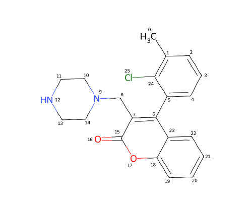 Cc1cccc(-c2c(CN3CCNCC3)c(=O)oc3ccccc23)c1Cl